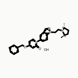 C[C@@H]1CC[C@@H](C)N1CCn1ncc2cc(-n3ccc(OCc4ccccc4)cc3=O)ccc21.Cl